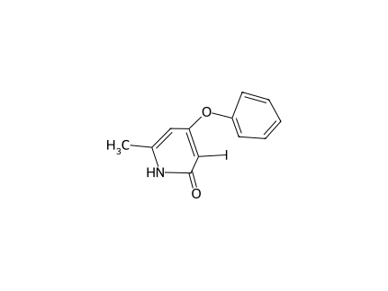 Cc1cc(Oc2ccccc2)c(I)c(=O)[nH]1